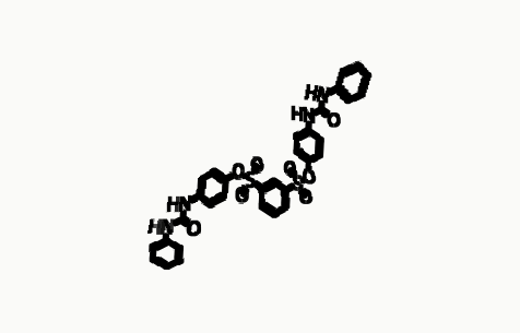 O=C(Nc1ccccc1)Nc1ccc(OS(=O)(=O)c2cccc(S(=O)(=O)Oc3ccc(NC(=O)Nc4ccccc4)cc3)c2)cc1